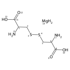 NC(CSSCC(N)C(=O)O)C(=O)O.[MgH2]